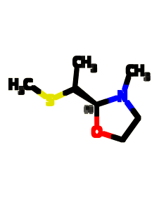 CSC(C)[C@@H]1OCCN1C